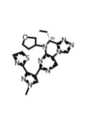 CC[C@@H]1c2nncn2-c2cnc(-c3cn(C)nc3-c3nccs3)nc2N1C1CCOC1